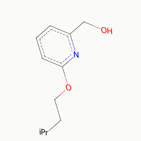 CC(C)CCOc1cccc(CO)n1